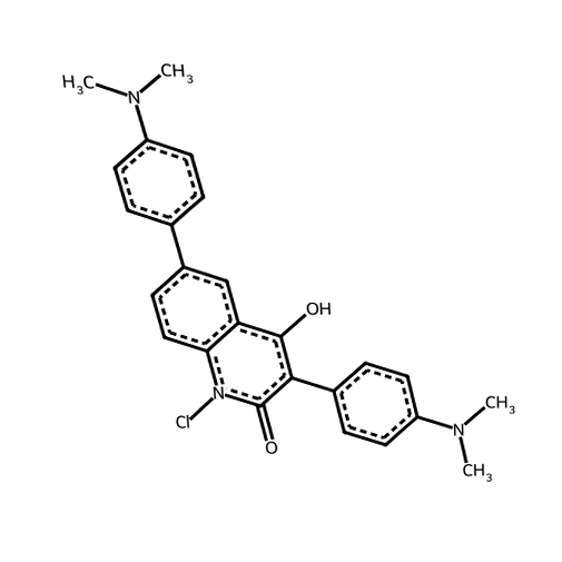 CN(C)c1ccc(-c2ccc3c(c2)c(O)c(-c2ccc(N(C)C)cc2)c(=O)n3Cl)cc1